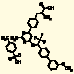 COc1cccc(-c2ccc([C@@H](Oc3cc(-c4ccc(C[C@H](N)C(=O)O)cc4)nc(N)n3)C(F)(F)F)cc2)c1.Cc1ccc(S(=O)(=O)O)cc1